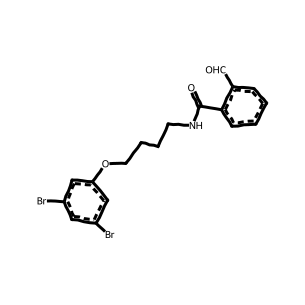 O=Cc1ccccc1C(=O)NCCCCOc1cc(Br)cc(Br)c1